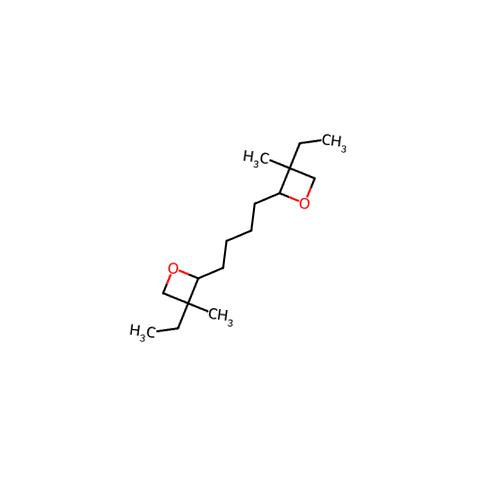 CCC1(C)COC1CCCCC1OCC1(C)CC